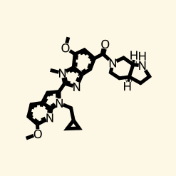 COc1ccc2cc(-c3nc4cc(C(=O)N5CC[C@H]6CCN[C@H]6C5)cc(OC)c4n3C)n(CC3CC3)c2n1